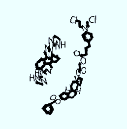 C(=N/NC1=NCCN1)/c1c2ccccc2c(/C=N\NC2=NCCN2)c2ccccc12.C[C@]12CC[C@@H]3c4ccc(OC(=O)c5ccccc5)cc4CC[C@H]3[C@@H]1CC[C@@H]2OC(=O)COC(=O)CCCc1ccc(N(CCCl)CCCl)cc1